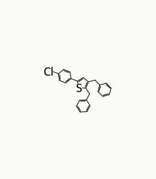 Clc1ccc(-c2cc(Cc3ccccc3)c(Cc3ccccc3)s2)cc1